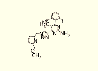 COCc1cccc(Cn2cc(-c3nc(N)nc(-c4c(I)cccc4C#N)c3C)nn2)n1